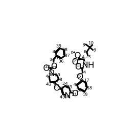 COC(=O)[C@H](CCC(C)(C)C)NC(=O)COc1cccc(Oc2ccc(OC3CCN(C(=O)OCc4ccccc4)CC3)cn2)c1